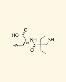 CCC(CC)(CS)C(=O)N[C@@H](CS)C(=O)O